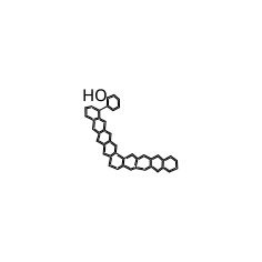 Oc1ccccc1-c1cccc2cc3cc4cc5ccc6cc7cc8cc9ccccc9cc8cc7cc6c5cc4cc3cc12